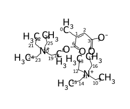 C/C(=C/C(=O)[O-])C(=O)[O-].CC[N+](CC)(CC)CC.CC[N+](CC)(CC)CC